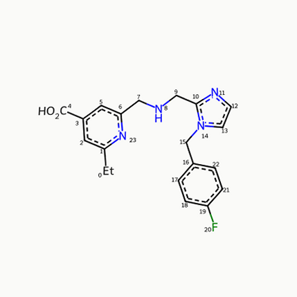 CCc1cc(C(=O)O)cc(CNCc2nccn2Cc2ccc(F)cc2)n1